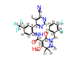 Cc1c(C#N)ncnc1-c1cc(C(F)(F)F)ccc1NC(=O)C1=C(O)C(C)(C)N(C)N(Cc2cccc(F)c2F)C1=O